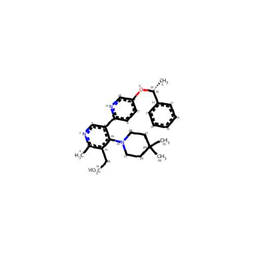 Cc1ncc(-c2ccc(O[C@H](C)c3ccccc3)cn2)c(N2CCC(C)(C)CC2)c1CC(=O)O